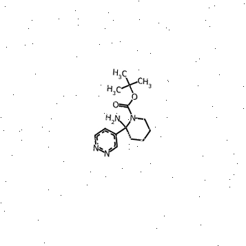 CC(C)(C)OC(=O)N1CCCCC1(N)c1ccnnc1